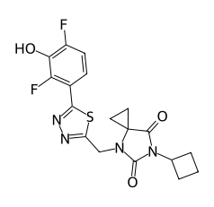 O=C1N(C2CCC2)C(=O)C2(CC2)N1Cc1nnc(-c2ccc(F)c(O)c2F)s1